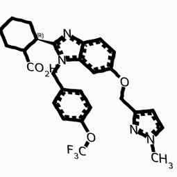 Cn1ccc(COc2ccc3nc([C@@H]4CCCCC4C(=O)O)n(Cc4ccc(OC(F)(F)F)cc4)c3c2)n1